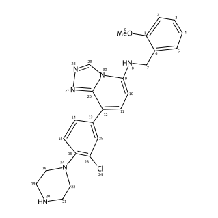 COc1ccccc1CNc1ccc(-c2ccc(N3CCNCC3)c(Cl)c2)c2nncn12